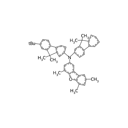 Cc1cc(C)c2oc3c(C)cc(N(c4ccc5c(c4)C(C)(C)c4ccccc4-5)c4ccc5c(c4)C(C)(C)c4cc(C(C)(C)C)ccc4-5)cc3c2c1